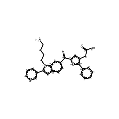 NCCCCn1c(-c2ccccc2)cc2ccc(C(=O)c3cc(CC(=O)O)c(-c4ccccc4)s3)cc21